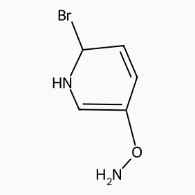 NOC1=CNC(Br)C=C1